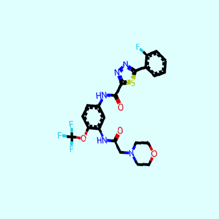 O=C(CN1CCOCC1)Nc1cc(NC(=O)c2nnc(-c3ccccc3F)s2)ccc1OC(F)(F)F